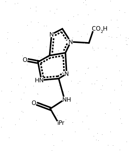 CC(C)C(=O)Nc1nc2c(ncn2CC(=O)O)c(=O)[nH]1